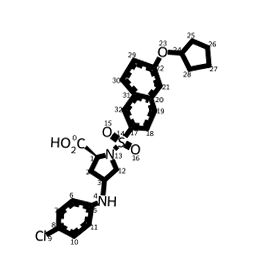 O=C(O)[C@@H]1CC(Nc2ccc(Cl)cc2)CN1S(=O)(=O)c1ccc2cc(OC3CCCC3)ccc2c1